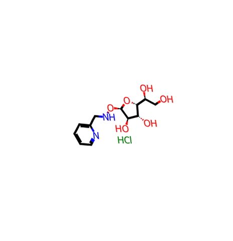 Cl.OC[C@H](O)[C@H]1O[C@H](ONCc2ccccn2)[C@H](O)[C@H]1O